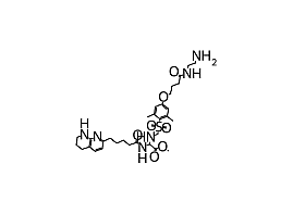 COC(=O)C(NCS(=O)(=O)c1c(C)cc(OCCCC(=O)NCCN)cc1C)NC(=O)CCCCc1ccc2c(n1)NCCC2